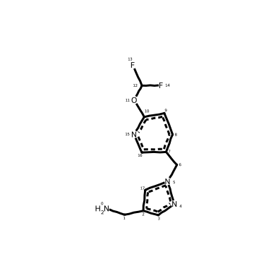 NCc1cnn(Cc2ccc(OC(F)F)nc2)c1